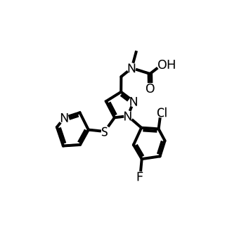 CN(Cc1cc(Sc2cccnc2)n(-c2cc(F)ccc2Cl)n1)C(=O)O